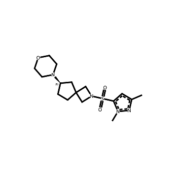 Cc1cc(S(=O)(=O)N2CC3(CC[C@@H](N4CCOCC4)C3)C2)n(C)n1